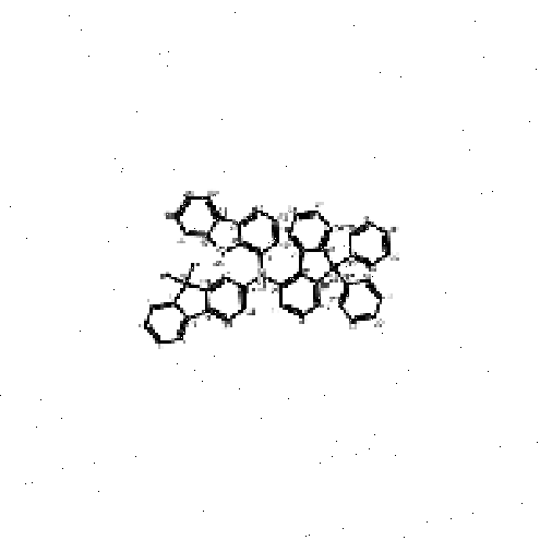 CC1(C)c2ccccc2-c2ccc(N(c3cccc4c3-c3ccccc3C4(c3ccccc3)c3ccccc3)c3cccc4c3sc3ccccc34)cc21